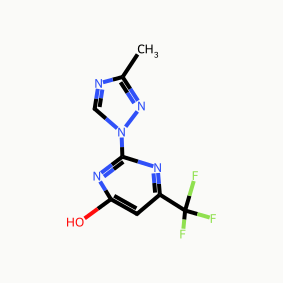 Cc1ncn(-c2nc(O)cc(C(F)(F)F)n2)n1